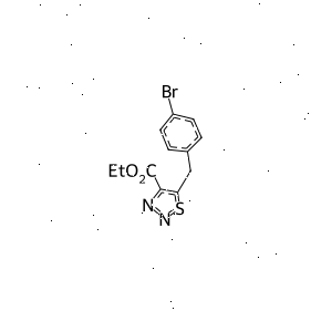 CCOC(=O)c1nnsc1Cc1ccc(Br)cc1